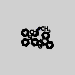 C=C(/C=C\C=C/C)[Si](c1ccccc1)(c1ccccc1)c1ccc2c(c1)N1B(O2)c2ccccc2-c2ccccc21